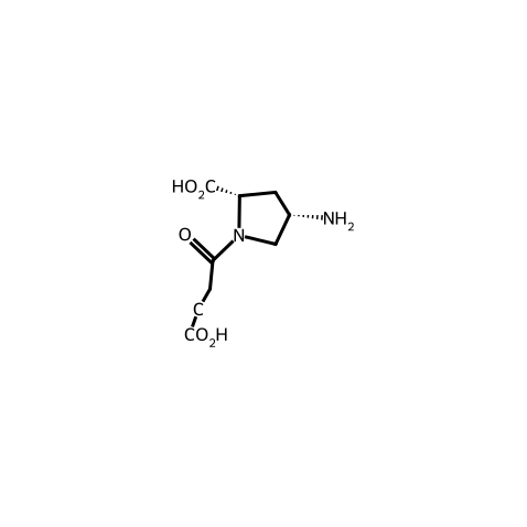 N[C@H]1C[C@@H](C(=O)O)N(C(=O)CCC(=O)O)C1